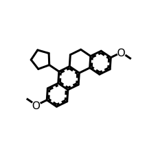 COc1ccc2c(c1)CCc1c-2cc2ccc(OC)cc2c1C1CCCC1